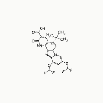 CC(C)(C)[C@@H]1Cc2c(nc3c(OC(F)F)cc(OC(F)F)cn23)-c2[nH]c(=O)c(C(=O)O)cc21